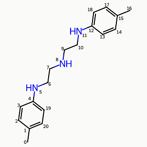 Cc1ccc(NCCNCCNc2ccc(C)cc2)cc1